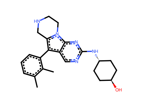 Cc1cccc(-c2c3n(c4nc(N[C@H]5CC[C@H](O)CC5)ncc24)CCNC3)c1C